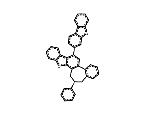 c1ccc([C@@H]2Cc3ccccc3-c3cc(-c4ccc5c(c4)sc4ccccc45)c4c(oc5ccccc54)c3C2)cc1